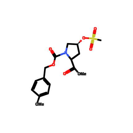 COC(=O)C1C[C@@H](OS(C)(=O)=O)CN1C(=O)OCc1ccc(OC)cc1